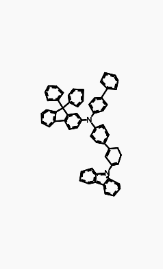 C1=C(c2ccc(N(c3ccc(-c4ccccc4)cc3)c3ccc4c(c3)C(c3ccccc3)(c3ccccc3)c3ccccc3-4)cc2)CCC=C1n1c2ccccc2c2ccccc21